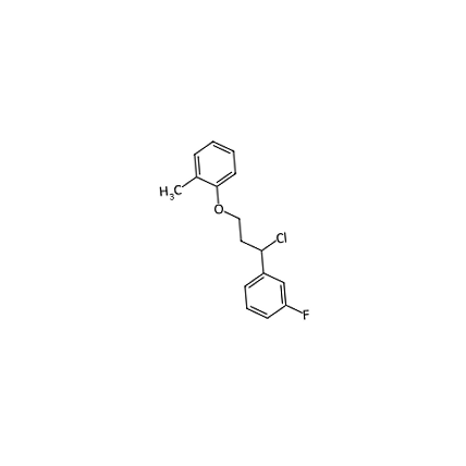 Cc1ccccc1OCCC(Cl)c1cccc(F)c1